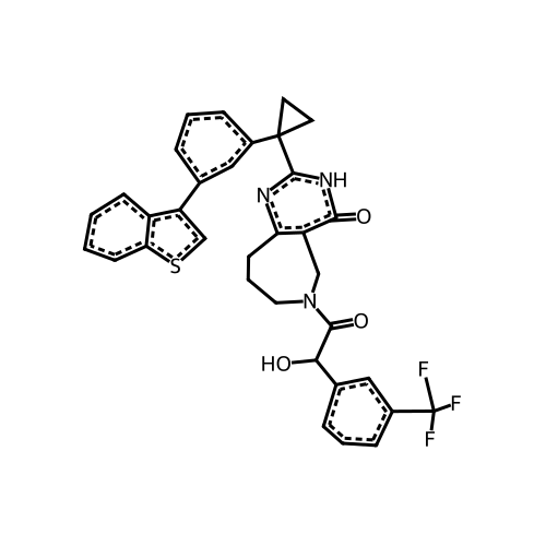 O=C(C(O)c1cccc(C(F)(F)F)c1)N1CCCc2nc(C3(c4cccc(-c5csc6ccccc56)c4)CC3)[nH]c(=O)c2C1